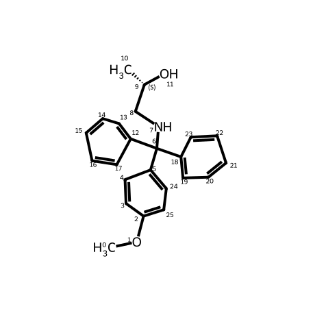 COc1ccc(C(NC[C@H](C)O)(c2ccccc2)c2ccccc2)cc1